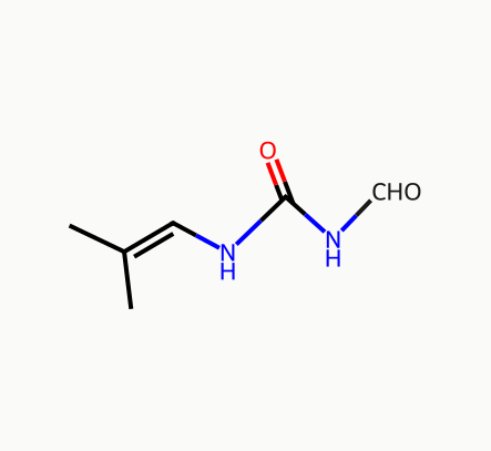 CC(C)=CNC(=O)NC=O